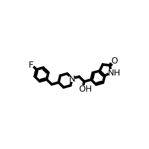 O=C1Cc2cc(C(O)CN3CCC(Cc4ccc(F)cc4)CC3)ccc2N1